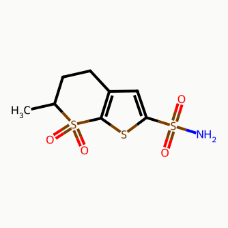 CC1CCc2cc(S(N)(=O)=O)sc2S1(=O)=O